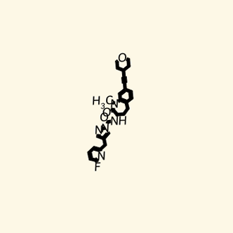 CN1C(=O)[C@H](NC(=O)n2cc(Cc3cccc(F)n3)cn2)CCc2ccc(C#CC3CCOCC3)cc21